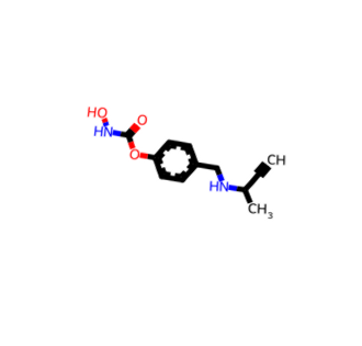 C#CC(C)NCc1ccc(OC(=O)NO)cc1